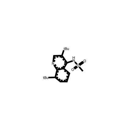 CC(C)(C)c1cnc2c(C(C)(C)C)cccc2c1NS(C)(=O)=O